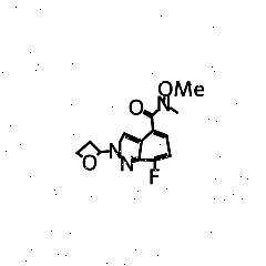 CON(C)C(=O)c1ccc(F)c2nn(C3CCO3)cc12